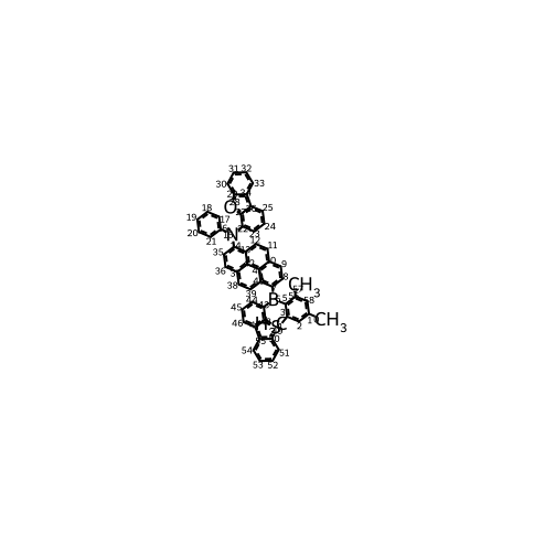 Cc1cc(C)c(B(c2ccc3ccc4c(N(c5ccccc5)c5cccc6c5oc5ccccc56)ccc5ccc2c3c54)c2cccc3c2sc2ccccc23)c(C)c1